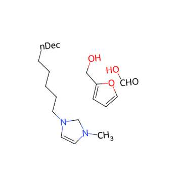 CCCCCCCCCCCCCCCN1C=CN(C)C1.O=CO.OCc1ccco1